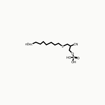 CCCCCCCCCCCCCCCCCSCC(C#N)COP(=O)(O)O